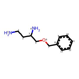 NCCC(N)COCc1ccccc1